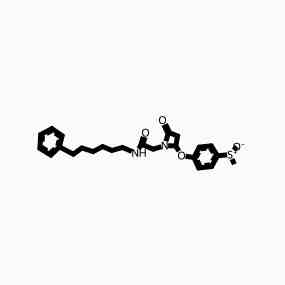 C[S+]([O-])c1ccc(OC2CC(=O)N2CC(=O)NCCCCCCc2ccccc2)cc1